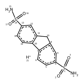 NS(=O)(=O)c1ccc2c(c1)Cc1cc(S(N)(=O)=O)ccc1-2.[H+]